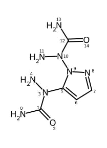 NC(=O)N(N)c1ccnn1N(N)C(N)=O